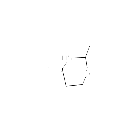 CC1NCC[C@H](C)N1